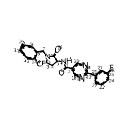 O=C(NC1CCN(Cc2ccccc2C(F)(F)F)C1=O)c1cnc(-c2cccc(F)c2)nc1